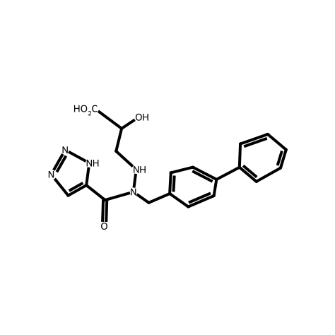 O=C(O)C(O)CNN(Cc1ccc(-c2ccccc2)cc1)C(=O)c1cnn[nH]1